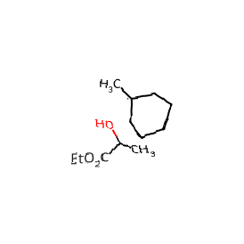 CCOC(=O)C(C)O.C[C]1CCCCC1